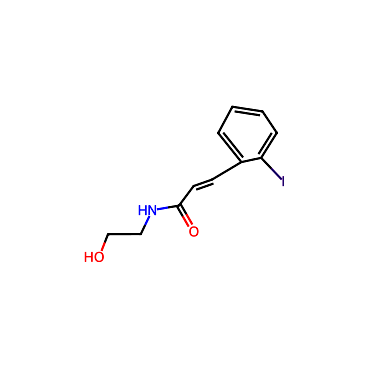 O=C(C=Cc1ccccc1I)NCCO